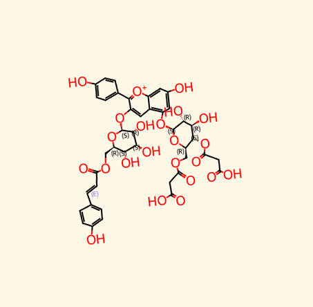 O=C(O)CC(=O)OC[C@H]1O[C@@H](Oc2cc(O)cc3[o+]c(-c4ccc(O)cc4)c(O[C@@H]4O[C@H](COC(=O)/C=C/c5ccc(O)cc5)[C@@H](O)[C@H](O)[C@H]4O)cc23)[C@H](O)[C@@H](O)[C@@H]1OC(=O)CC(=O)O